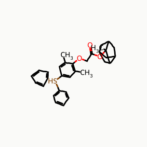 Cc1cc([SH](c2ccccc2)c2ccccc2)cc(C)c1OCC(=O)OC1(C)C2CC3CC(C2)C1C3